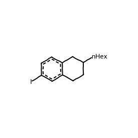 CCCCCCC1CCc2cc(I)ccc2C1